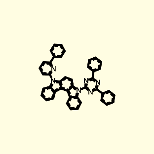 c1ccc(-c2cccc(-n3c4ccccc4c4c5c6ccccc6n(-c6nc(-c7ccccc7)nc(-c7ccccc7)n6)c5ccc43)n2)cc1